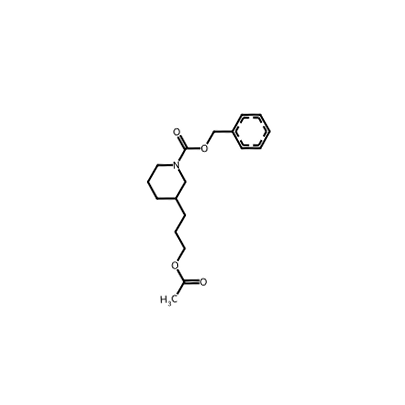 CC(=O)OCCCC1CCCN(C(=O)OCc2ccccc2)C1